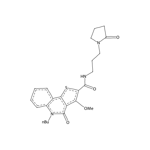 CCCCn1c(=O)c2c(OC)c(C(=O)NCCCN3CCCC3=O)sc2c2ccccc21